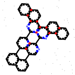 c1ccc(-c2cc(-c3ccccc3)nc(-c3ccc(-c4cccc5cccc(-c6ccc(-c7nc(-c8ccccc8)cc(-c8ccccc8)n7)nc6)c45)cn3)n2)cc1